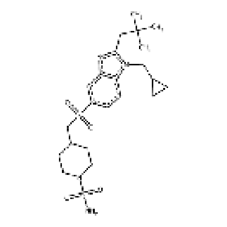 CC(C)(C)Cc1nc2cc(S(=O)(=O)CC3CCN(S(N)(=O)=O)CC3)ccc2n1CC1CC1